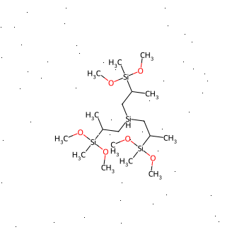 CO[Si](C)(OC)C(C)C[SiH](CC(C)[Si](C)(OC)OC)CC(C)[Si](C)(OC)OC